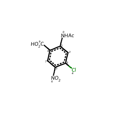 CC(=O)Nc1cc(Cl)c([N+](=O)[O-])cc1C(=O)O